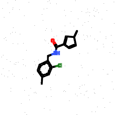 Cc1ccc(CNC(=O)C2=CC(C)C=C2)c(Cl)c1